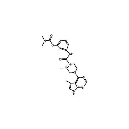 Cc1c[nH]c2ncnc(N3CCN(C(=O)Nc4cccc(OC(=O)N(C)C)c4)[C@@H](C)C3)c12